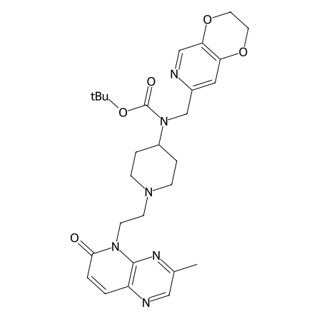 Cc1cnc2ccc(=O)n(CCN3CCC(N(Cc4cc5c(cn4)OCCO5)C(=O)OC(C)(C)C)CC3)c2n1